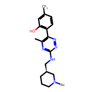 CC(=O)N1CCC[C@@H](CNc2nnc(-c3ccc(C(F)(F)F)cc3O)c(C)n2)C1